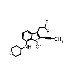 CC#Cc1c(CC(F)F)c2cccc(NC3CCOCC3)c2[s+]1[O-]